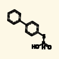 O=[PH](O)Sc1ccc(-c2ccccc2)cc1